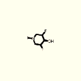 OC1C(F)CN(I)CC1F